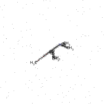 CCCCCCCCCCCCCCCCCCOCC(CCCCCCCC/C=C\C[C@@H](CCCCCC)OC(C)=O)OC(=O)OCCCN(C)C